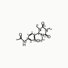 CC(=O)Nc1ccc(C2N(C)C(=O)N(C)C(=O)N2C)c(O)c1